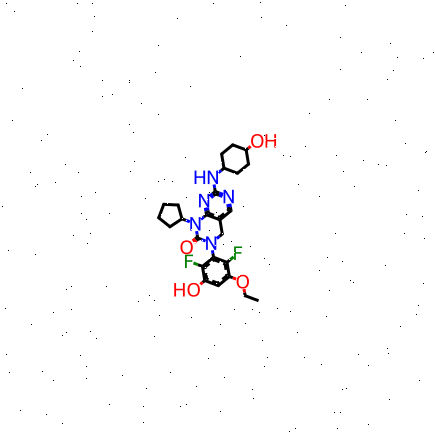 CCOc1cc(O)c(F)c(N2Cc3cnc(NC4CCC(O)CC4)nc3N(C3CCCC3)C2=O)c1F